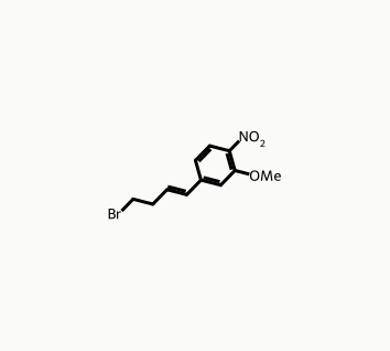 COc1cc(C=CCCBr)ccc1[N+](=O)[O-]